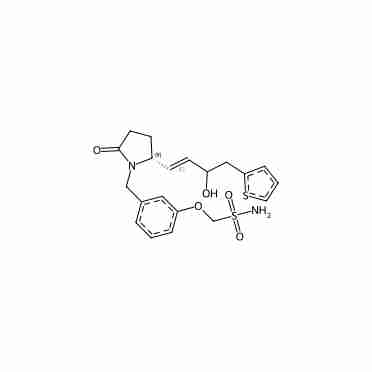 NS(=O)(=O)COc1cccc(CN2C(=O)CC[C@@H]2/C=C/C(O)Cc2cccs2)c1